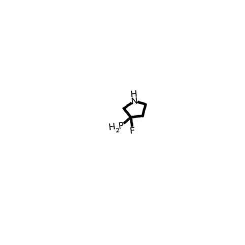 FC1(P)CCNC1